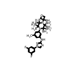 BC1(N2C(B)(B)C(B)(B)N(c3cc(C)cc(Nc4ncn(-c5cc(F)cc(F)c5)n4)c3)C(B)(B)C2(B)B)COC1